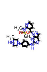 CC1CN(c2ccc(Nc3ncc4cnn(Cc5cccnc5N(C)S(C)(=O)=O)c4n3)cc2)CCN1